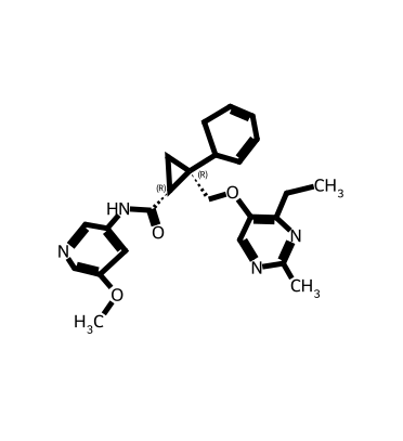 CCc1nc(C)ncc1OC[C@@]1(C2C=CC=CC2)C[C@H]1C(=O)Nc1cncc(OC)c1